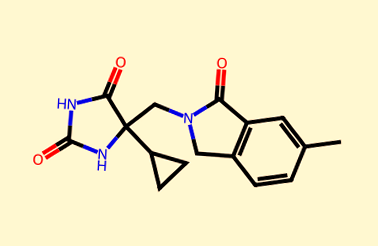 Cc1ccc2c(c1)C(=O)N(CC1(C3CC3)NC(=O)NC1=O)C2